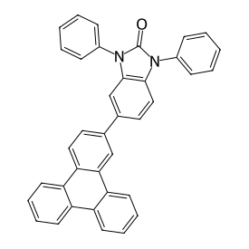 O=c1n(-c2ccccc2)c2ccc(-c3ccc4c5ccccc5c5ccccc5c4c3)cc2n1-c1ccccc1